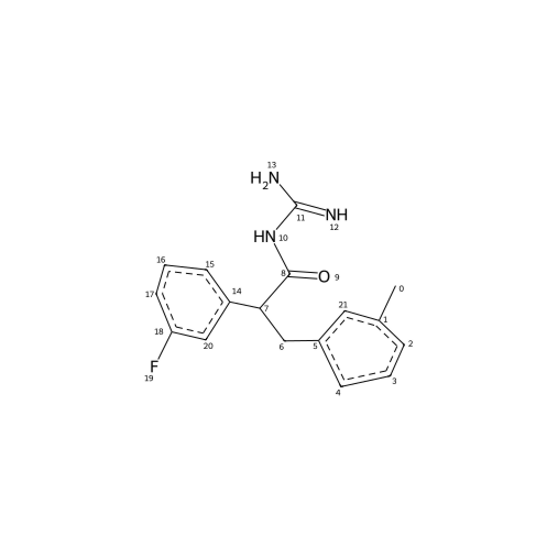 Cc1cccc(CC(C(=O)NC(=N)N)c2cccc(F)c2)c1